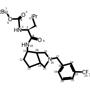 CC(C)C[C@H](NC(=O)OC(C)(C)C)C(=O)NC1CCC2CN(Cc3cccc(C(F)(F)F)c3)CC21